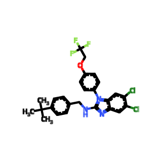 CC(C)(C)c1ccc(CNc2nc3cc(Cl)c(Cl)cc3n2-c2ccc(OCC(F)(F)F)cc2)cc1